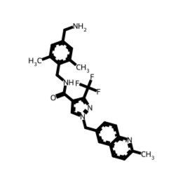 Cc1ccc2cc(Cn3cc(C(=O)NCc4c(C)cc(CN)cc4C)c(C(F)(F)F)n3)ccc2n1